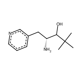 CC(C)(C)C(O)[C@H](N)Cc1cccnc1